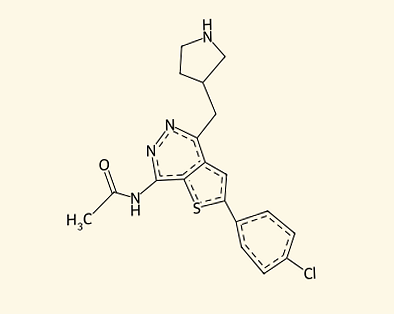 CC(=O)Nc1nnc(CC2CCNC2)c2cc(-c3ccc(Cl)cc3)sc12